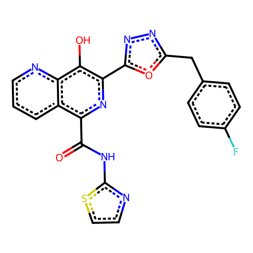 O=C(Nc1nccs1)c1nc(-c2nnc(Cc3ccc(F)cc3)o2)c(O)c2ncccc12